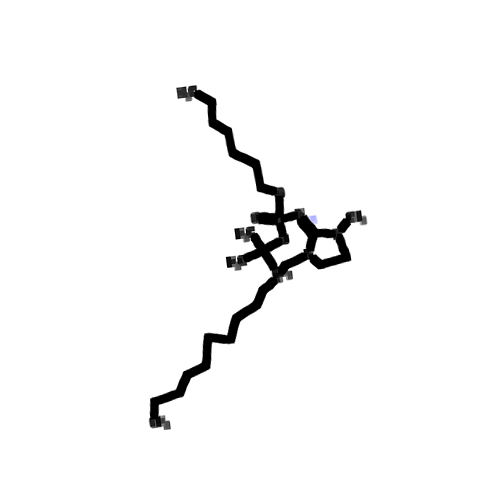 CCCCCCCCCCCCN1CCN(C)/C1=N/P(=O)(OCCCCCCC)OC(C)(C)C